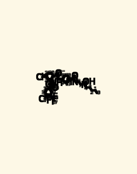 CCCCCN(O)CCNC(=O)c1ccc(C[S+]([O-])c2ccc(Cl)cc2NS(=O)(=O)c2ccc(Cl)c(C(F)(F)F)c2)cc1